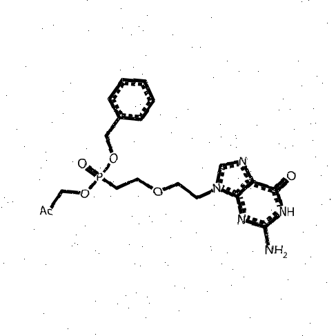 CC(=O)COP(=O)(CCOCCn1cnc2c(=O)[nH]c(N)nc21)OCc1ccccc1